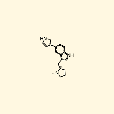 CN1CCC[C@@H]1Cc1c[nH]c2ccc(N3C=CNC3)cc12